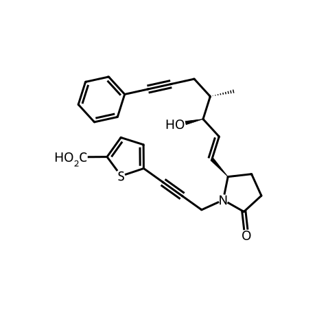 C[C@@H](CC#Cc1ccccc1)[C@H](O)C=C[C@H]1CCC(=O)N1CC#Cc1ccc(C(=O)O)s1